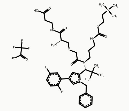 CC(C)(C)[C@H](c1cc(-c2cc(F)ccc2F)cn1Cc1ccccc1)N(CCCNC(=O)OCC[Si](C)(C)C)C(=O)CSC[C@H](N)C(=O)NCCC(=O)O.O=C(O)C(F)(F)F